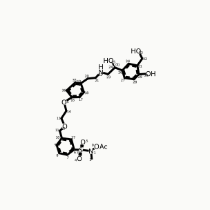 CC(=O)ON(C)S(=O)(=O)c1cccc(COCCOc2ccc(CCNC[C@@H](O)c3ccc(O)c(CO)c3)cc2)c1